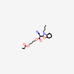 C=CC(=O)OCCCCOC(=O)/C(C#N)=C1\Oc2ccccc2N1CCCC